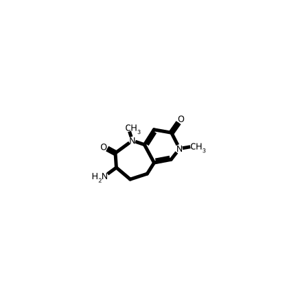 CN1C(=O)C(N)CCc2cn(C)c(=O)cc21